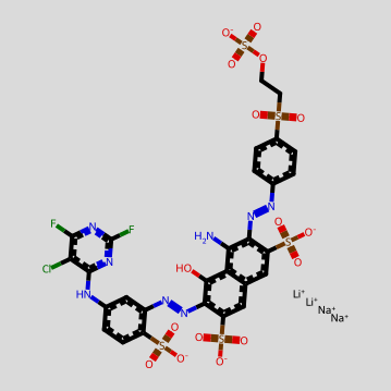 Nc1c(N=Nc2ccc(S(=O)(=O)CCOS(=O)(=O)[O-])cc2)c(S(=O)(=O)[O-])cc2cc(S(=O)(=O)[O-])c(N=Nc3cc(Nc4nc(F)nc(F)c4Cl)ccc3S(=O)(=O)[O-])c(O)c12.[Li+].[Li+].[Na+].[Na+]